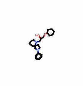 OC(COC1CCCCC1)CN1CCCCC12CCN(c1ccccc1)C2